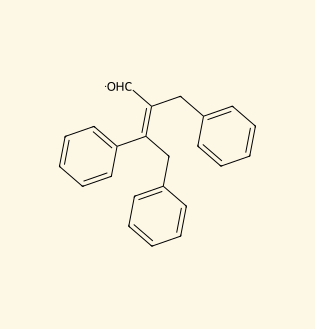 O=[C]C(Cc1ccccc1)=C(Cc1ccccc1)c1ccccc1